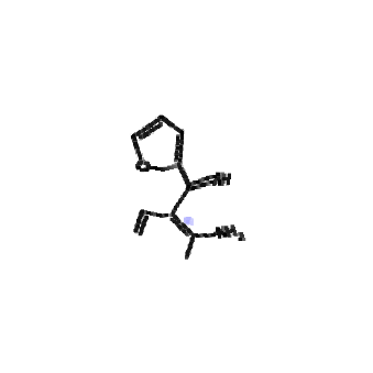 C=C/C(C(=N)c1ccco1)=C(\C)N